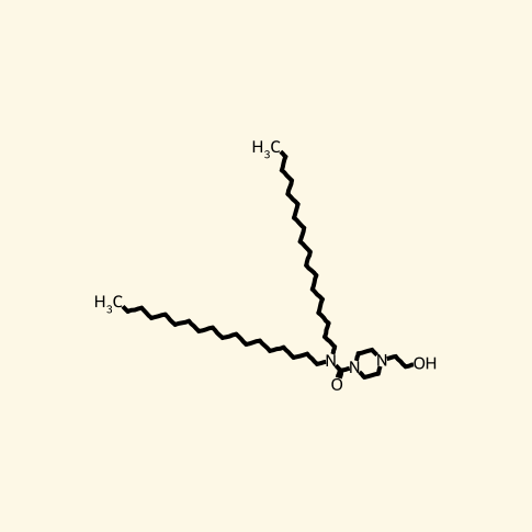 CCCCCCCCCCCCCCCCCCN(CCCCCCCCCCCCCCCCCC)C(=O)N1CCN(CCO)CC1